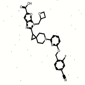 N#Cc1ccc(COc2cccc(N3CCC4(CC3)CC4c3nc4cc(C(=O)O)oc4n3CC3CCO3)n2)c(F)c1